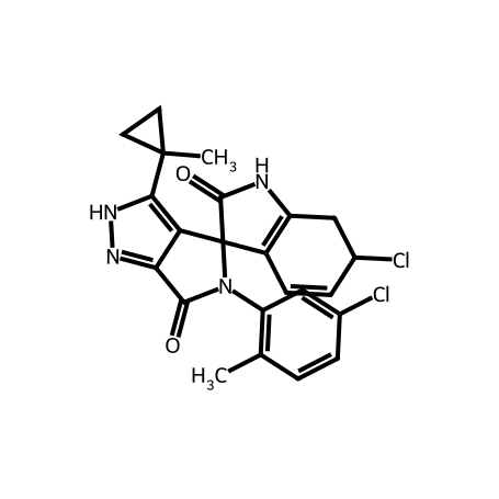 Cc1ccc(Cl)cc1N1C(=O)c2n[nH]c(C3(C)CC3)c2C12C(=O)NC1=C2C=CC(Cl)C1